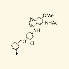 COc1cc2ncnc(Nc3ccc(OCc4cccc(F)c4)c(Cl)c3)c2cc1NC(C)=O